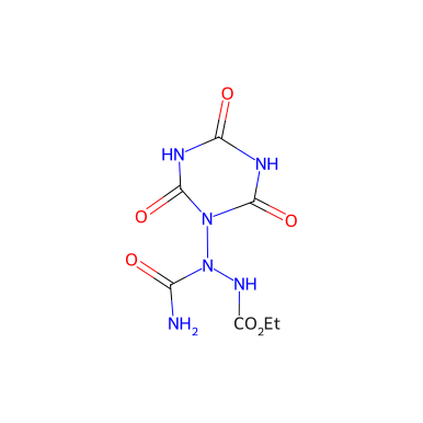 CCOC(=O)NN(C(N)=O)n1c(=O)[nH]c(=O)[nH]c1=O